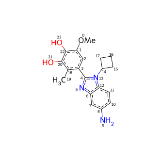 COc1cc(-c2nc3cc(N)ccc3n2C2CCC2)c(C)c(O)c1O